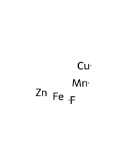 [Cu].[F].[Fe].[Mn].[Zn]